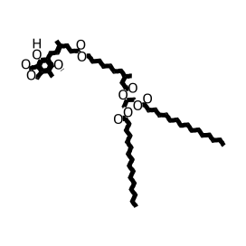 CCCCCCCCCCCCCCCC(=O)OCC(COC(=O)CCCCCCCCCCCCCCC)OC(=O)CC(C)CCCCCCCOC(=O)CC/C(C)=C/Cc1c(O)c2c(c(C)c1OC)COC2=O